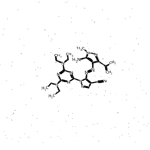 C=C(C)c1nn(C)c(N)c1N=Nc1c(C#N)cnn1-c1nc(N(CC)CC)nc(N(CC)CC)n1